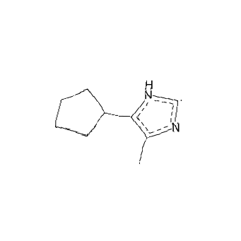 Cc1n[c][nH]c1C1CCCC1